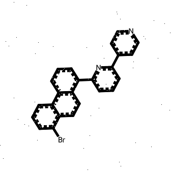 Brc1cccc2c1ccc1c(-c3cccc(-c4ccncc4)n3)cccc12